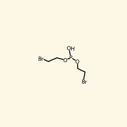 OP(OCCBr)OCCBr